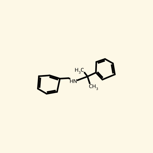 CC(C)(NCc1ccccc1)c1ccccc1